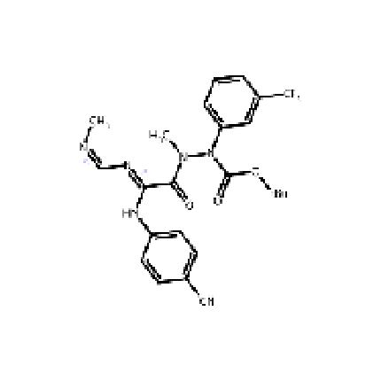 C/N=C\N=C(/Nc1ccc(C#N)cc1)C(=O)N(C)N(C(=O)OC(C)(C)C)c1cccc(C(F)(F)F)c1